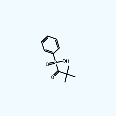 CC(C)(C)C(=O)P(=O)(O)c1ccccc1